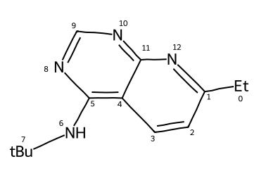 CCc1ccc2c(NC(C)(C)C)ncnc2n1